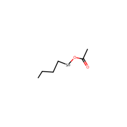 CCC[CH2][Sn][O]C(C)=O